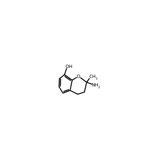 CC1(N)CCc2cccc(O)c2O1